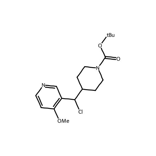 COc1ccncc1C(Cl)C1CCN(C(=O)OC(C)(C)C)CC1